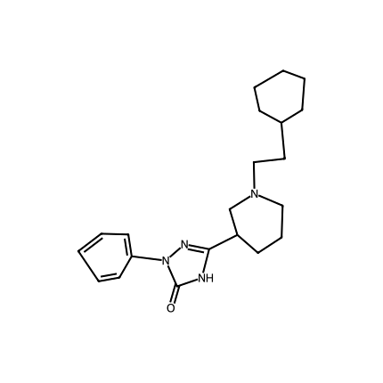 O=c1[nH]c(C2CCCN(CCC3CCCCC3)C2)nn1-c1ccccc1